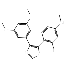 CNc1ccc(-c2ocnc2-c2cc(OC)cc(OC)c2)c(F)c1